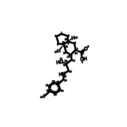 O=C(O)[C@@H]1C[C@@H]2CCCC[C@@H]2CN1C[C@@H](O)CNCc1ccc(F)cc1